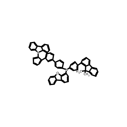 CC1(C)c2ccccc2-c2cccc(-c3ccc(N(c4ccc(-c5cccc(-c6ccccc6-n6c7ccccc7c7ccccc76)c5)cc4)c4cccc5c4oc4ccccc45)cc3)c21